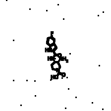 N[C@@H]1CN(C(=O)O)CC[C@@H]1NC(=O)c1cc2cc(F)ccc2[nH]1